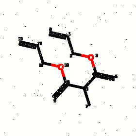 C=CCOC(=C)C(C)C(=C)OCC=C